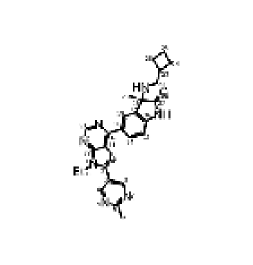 CCn1c(-c2cnc(C)nc2)nc2c(-c3ccc4c(c3)[C@](C)(NCC3CCC3)C(=O)N4)ncnc21